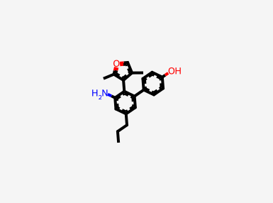 CCCc1cc(N)c(-c2c(C)coc2C)c(-c2ccc(O)cc2)c1